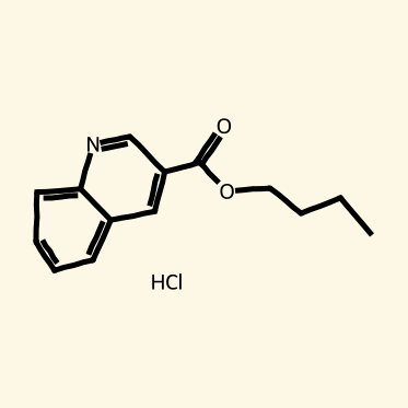 CCCCOC(=O)c1cnc2ccccc2c1.Cl